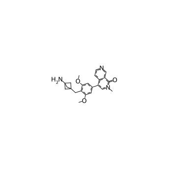 COc1cc(-c2cn(C)c(=O)c3cnccc23)cc(OC)c1CC12CC(N)(C1)C2